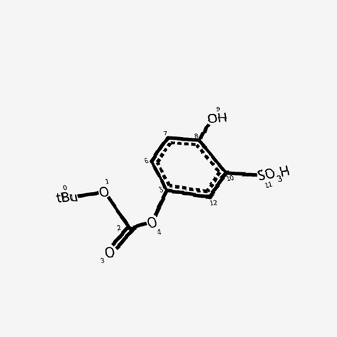 CC(C)(C)OC(=O)Oc1ccc(O)c(S(=O)(=O)O)c1